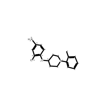 Cc1ccccc1N1CCC(Oc2ccc(N)cc2Cl)CC1